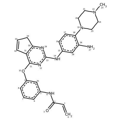 C=CC(=O)Nc1cccc(Oc2nc(Nc3ccc(N4CCN(C)CC4)c(N)c3)nc3c2C=CC3)c1